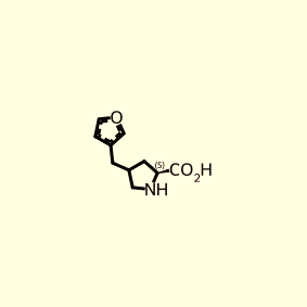 O=C(O)[C@@H]1CC(Cc2ccoc2)CN1